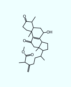 C=C(CCC(C)C1CCC2C3=C(C(=O)CC21C)C1(C)CCC(=O)C(C)C1CC3O)C(C)C(=O)OC